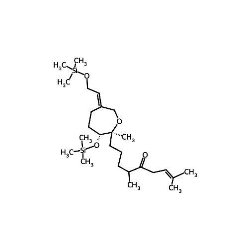 CC(C)=CCC(=O)C(C)CCC[C@]1(C)OC/C(=C/CO[Si](C)(C)C)CC[C@H]1O[Si](C)(C)C